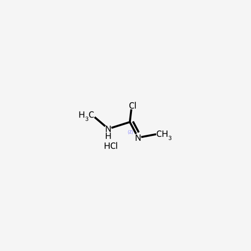 C/N=C(\Cl)NC.Cl